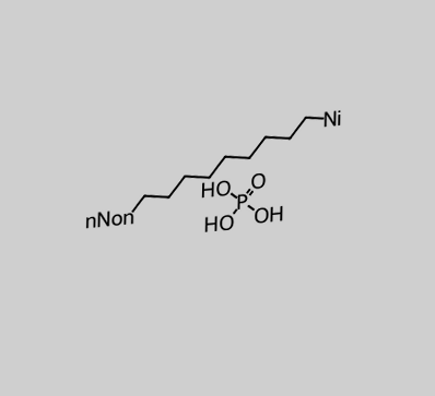 CCCCCCCCCCCCCCCCC[CH2][Ni].O=P(O)(O)O